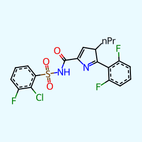 CCCC1C=C(C(=O)NS(=O)(=O)c2cccc(F)c2Cl)N=C1c1c(F)cccc1F